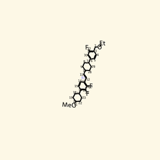 CCOCc1ccc(C2CCC(/C=C/c3ccc(C4CCC(OC)CC4)c(F)c3F)CC2)cc1F